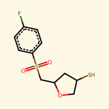 O=S(=O)(CC1CC(S)CO1)c1ccc(F)cc1